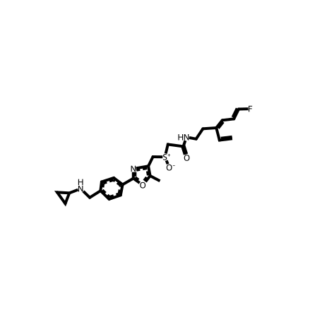 C=C/C(=C\C=C\F)CCNC(=O)C[S+]([O-])Cc1nc(-c2ccc(CNC3CC3)cc2)oc1C